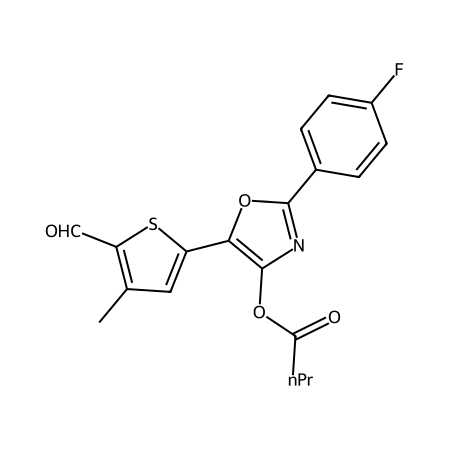 CCCC(=O)Oc1nc(-c2ccc(F)cc2)oc1-c1cc(C)c(C=O)s1